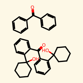 O=C(c1ccccc1)c1ccccc1.O=C(c1ccccc1C1(O)CCCCC1)c1ccccc1C1(O)CCCCC1